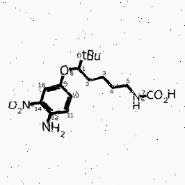 CC(C)(C)C(CCCCNC(=O)O)Oc1ccc(N)c([N+](=O)[O-])c1